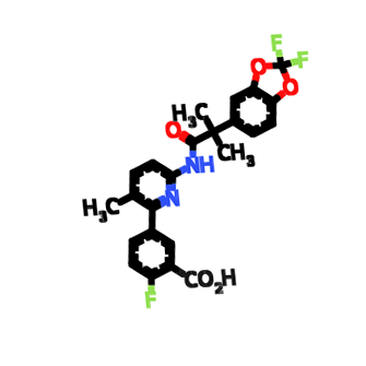 Cc1ccc(NC(=O)C(C)(C)c2ccc3c(c2)OC(F)(F)O3)nc1-c1ccc(F)c(C(=O)O)c1